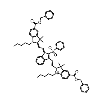 CCCCCN1/C(=C/C=C2C(S(=O)(=O)c3ccccc3)=C(/C=C/C3=[N+](CCCCC)c4ccc(C(=O)OCc5ccccc5)cc4C3(C)C)c3ccccc3/2)C(C)(C)c2cc(C(=O)OCc3ccccc3)ccc21